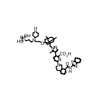 Cc1c(-c2ccc(N3CCc4cccc(C(=O)Nc5nc6ccccc6s5)c4C3)nc2C(=O)O)cnn1CC12CC3(C)CC(C)(C1)CC(OCCN(CCCP(=O)(O)O)C1CCNCC1)(C3)C2